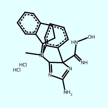 COc1ccccc1C1(C(=N)NO)N=C(N)N=C1N=C1CCc2ccccc21.Cl.Cl